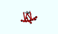 CCCCCCCCCCCCC1(CCCCCCCCCCCC)c2cc(-c3ccccc3)ccc2-c2ccc(-c3cc(/C=C/c4cccs4)c(-c4ccc5c(c4)C(CCCCCCCCCCCC)(CCCCCCCCCCCC)c4cc(-c6ccc(-c7ccccc7)c7c6=NCN=7)ccc4-5)cc3/C=C/c3cccs3)cc21